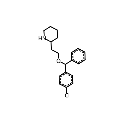 Clc1ccc(C(OCCC2CCCCN2)c2ccccc2)cc1